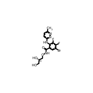 Cc1ccc(Nc2c(C(=O)NOC[C@H](O)CO)cc(Br)c(F)c2F)nn1